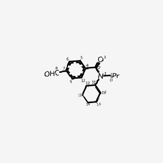 CC(C)N(C(=O)c1ccc(C=O)cc1)C1CCCCC1